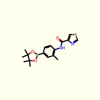 Cc1cc(B2OC(C)(C)C(C)(C)O2)ccc1NC(=O)c1cscn1